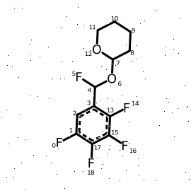 Fc1cc(C(F)OC2CCCCO2)c(F)c(F)c1F